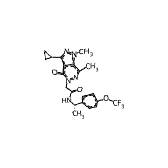 Cc1nn(CC(=O)N[C@@H](C)c2ccc(OC(F)(F)F)cc2)c(=O)c2c(C3CC3)nn(C)c12